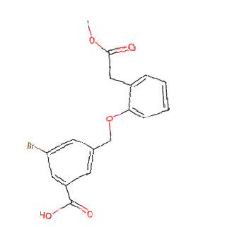 COC(=O)Cc1ccccc1OCc1cc(Br)cc(C(=O)O)c1